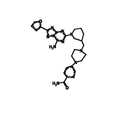 NC(=O)c1ccc(N2CCN(CC3CCCN(c4nc(N)n5nc(-c6ccco6)nc5n4)C3)CC2)cc1